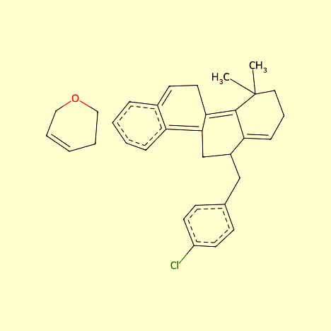 C1=CCOCC1.CC1(C)CCC=C2C1=C1CC=c3ccccc3=C1CC2Cc1ccc(Cl)cc1